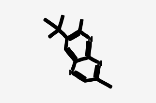 Cc1cnc2cc(C(C)(C)C)c(C)nc2n1